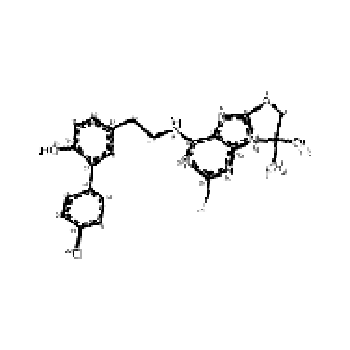 CC1(C)COc2nc3c(NCCc4ccc(O)c(-c5ccc(Cl)cc5)c4)nc(I)nc3n21